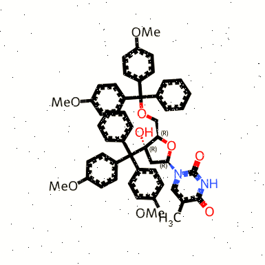 COc1ccc(C(OC[C@H]2O[C@@H](n3cc(C)c(=O)[nH]c3=O)C[C@@]2(O)C(c2ccccc2)(c2ccc(OC)cc2)c2ccc(OC)cc2)(c2ccccc2)c2ccc(OC)cc2)cc1